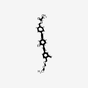 C=COCOCc1ccc(C#Cc2ccc(C#CC3CCC(COC(=O)C=C)CC3)cc2CC)cc1F